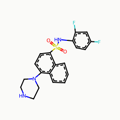 O=S(=O)(Nc1ccc(F)cc1F)c1ccc(N2CCNCC2)c2ccccc12